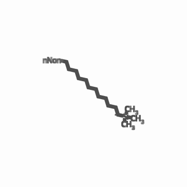 CCCCCCCCCCCCCCCCCCCC[CH][Si](C)(C)C